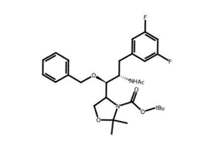 CC(=O)N[C@@H](Cc1cc(F)cc(F)c1)[C@H](OCc1ccccc1)C1COC(C)(C)N1C(=O)OC(C)(C)C